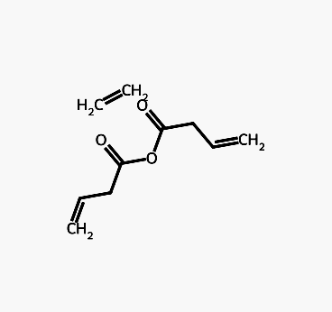 C=C.C=CCC(=O)OC(=O)CC=C